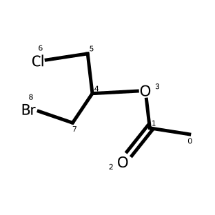 CC(=O)OC(CCl)CBr